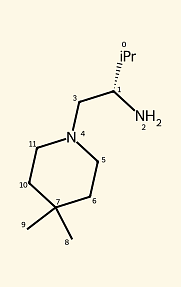 CC(C)[C@H](N)CN1CCC(C)(C)CC1